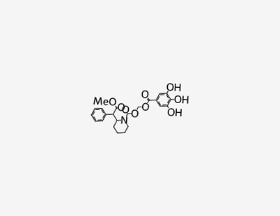 COC(=O)C(c1ccccc1)C1CCCCN1C(=O)OCOC(=O)c1cc(O)c(O)c(O)c1